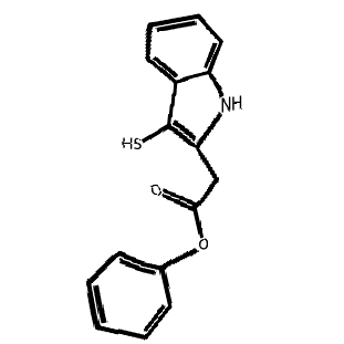 O=C(Cc1[nH]c2ccccc2c1S)Oc1ccccc1